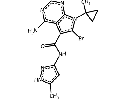 Cc1cc(NC(=O)c2c(Br)n(C3(C)CC3)c3ncnc(N)c23)n[nH]1